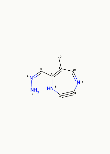 CC1=C(/C=N\N)NC#CN=C1